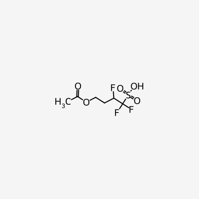 CC(=O)OCCC(F)C(F)(F)S(=O)(=O)O